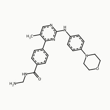 Cc1cnc(Nc2ccc(N3CCOCC3)cc2)nc1-c1ccc(C(=O)NCN)cc1